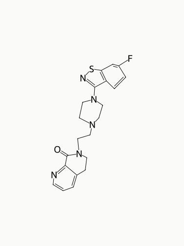 O=C1c2ncccc2CCN1CCN1CCN(c2nsc3cc(F)ccc23)CC1